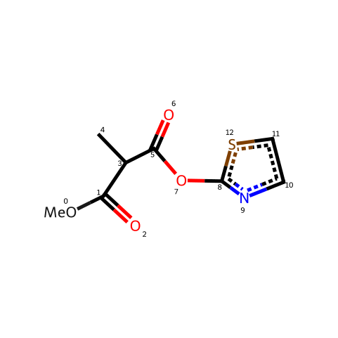 COC(=O)C(C)C(=O)Oc1nccs1